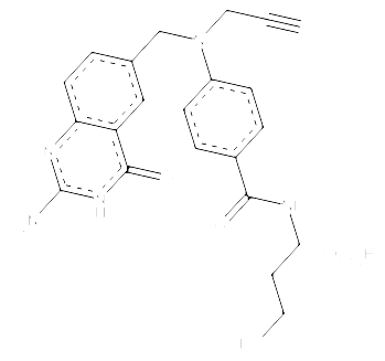 C#CCN(Cc1ccc2nc(N)[nH]c(=O)c2c1)c1ccc(C(=O)N[C@@H](CCC=O)C(=O)O)cc1